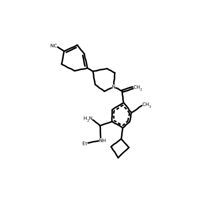 C=C(c1cc(C(N)NCC)c(C2CCC2)cc1C)N1CCC(C2=CC=C(C#N)CC2)CC1